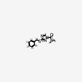 CN(C)C(=O)n1cnc(SCc2ccccc2)n1